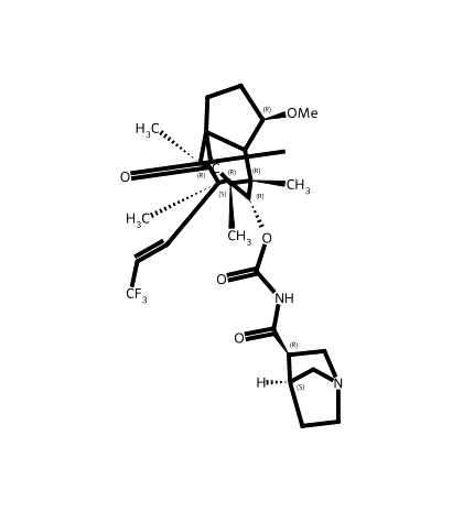 CO[C@@H]1CCC23CC[C@@H](C)[C@](C)(C12)[C@H](OC(=O)NC(=O)[C@H]1CN2CC[C@@H]1C2)C[C@@](C)(C=CC(F)(F)F)C(=O)[C@@H]3C